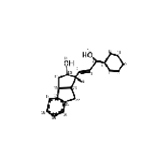 CC1(C=CC(O)C2CCCCC2)C(O)CC2c3ccccc3CC21